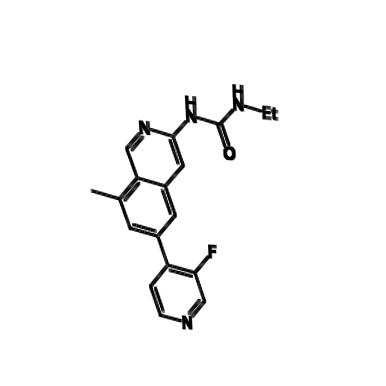 CCNC(=O)Nc1cc2cc(-c3ccncc3F)cc(C)c2cn1